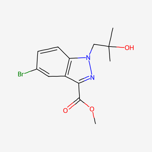 COC(=O)c1nn(CC(C)(C)O)c2ccc(Br)cc12